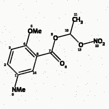 CNc1ccc(OC)c(C(=O)OC(C)O[N+](=O)[O-])c1